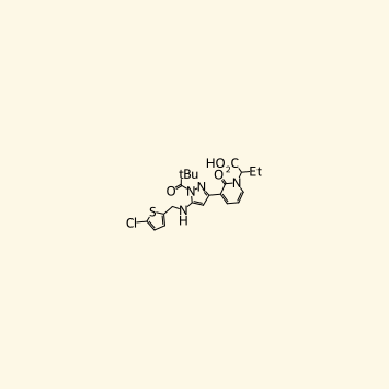 CCC(C(=O)O)n1cccc(-c2cc(NCc3ccc(Cl)s3)n(C(=O)C(C)(C)C)n2)c1=O